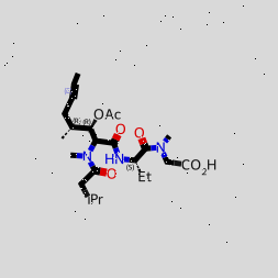 C/C=C/C[C@@H](C)[C@@H](OC(C)=O)C(C(=O)N[C@@H](CC)C(=O)N(C)CC(=O)O)N(C)C(=O)CC(C)C